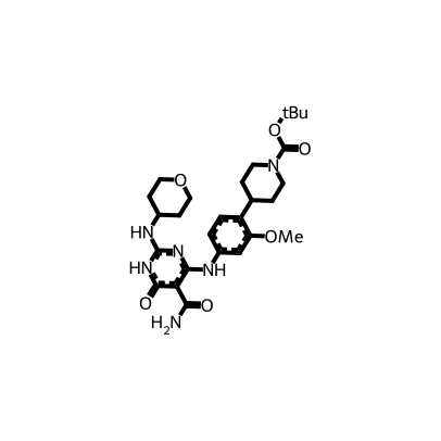 COc1cc(Nc2nc(NC3CCOCC3)[nH]c(=O)c2C(N)=O)ccc1C1CCN(C(=O)OC(C)(C)C)CC1